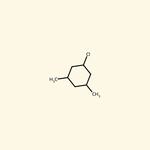 CC1C[C](Cl)CC(C)C1